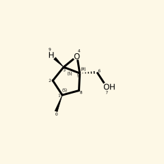 C[C@H]1C[C@@H]2O[C@@]2(CO)C1